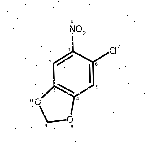 O=[N+]([O-])c1cc2c(cc1Cl)OCO2